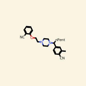 CCCCCC(c1ccc(C#N)c(C)c1)N1CCN(CCOc2ccccc2C#N)CC1